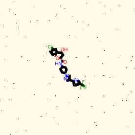 O=C(NC1CCC(n2cc(-c3ccc(C(F)(F)F)cn3)cn2)CC1)[C@H]1C[C@@H](O)c2cc(Cl)ccc2O1